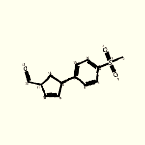 CS(=O)(=O)c1ccc(C2C=CC(C=O)C2)cc1